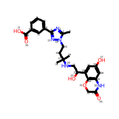 Cc1nc(-c2cccc(C(=O)O)c2)nn1CCC(C)(C)NCC(O)c1cc(O)cc2c1OCC(=O)N2